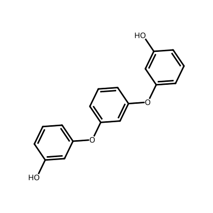 Oc1cccc(Oc2cccc(Oc3cccc(O)c3)c2)c1